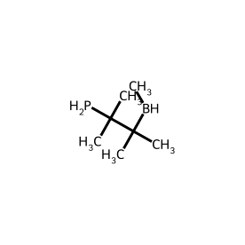 CBC(C)(C)C(C)(C)P